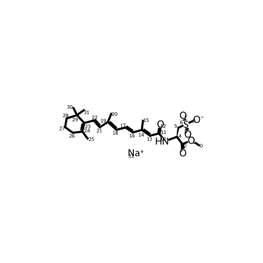 COC(=O)[C@H](CS(=O)(=O)[O-])NC(=O)/C=C(C)/C=C/C=C(C)/C=C/C1=C(C)CCCC1(C)C.[Na+]